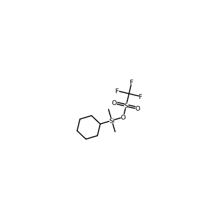 C[Si](C)(OS(=O)(=O)C(F)(F)F)C1CCCCC1